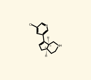 Clc1cncc(C2=CC[C@@H]3CCNC[C@H]23)c1